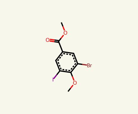 COC(=O)c1cc(Br)c(OC)c(I)c1